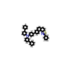 c1ccc(-c2cccc(N(c3ccc(-c4ccc5c(ccc6ccc7sc(-c8ccccc8)nc7c65)c4)cc3)c3cccc(-c4ccccc4)c3)c2)cc1